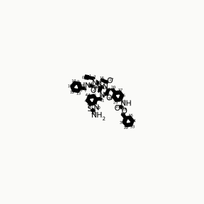 C#CCN(C(=O)NCc1ccccc1)N1CC(=O)N2[C@@H](Cc3ccc(NC(=O)OCc4ccccc4)cc3)C(=O)N(Cc3cccc4sc(N)nc34)C[C@@H]21